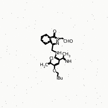 C=C(Cl)/C(=C\C(=C\NCc1nn(CC=O)c(=O)c2ccccc12)C(C)=N)OCC(C)CC